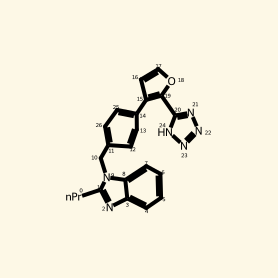 CCCc1nc2ccccc2n1Cc1ccc(-c2ccoc2-c2nnn[nH]2)cc1